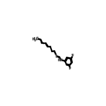 CCCCCCCCSCNc1cc(F)cc(F)c1